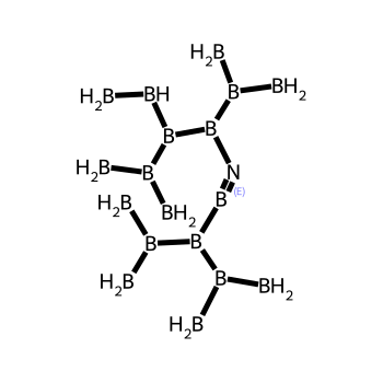 BBB(B(B)B)B(/N=B/B(B(B)B)B(B)B)B(B)B